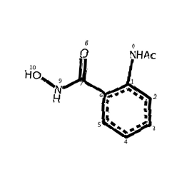 CC(=O)Nc1ccccc1C(=O)NO